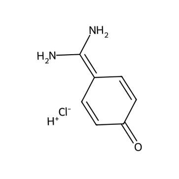 NC(N)=C1C=CC(=O)C=C1.[Cl-].[H+]